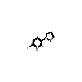 Fc1ccc(N2CC=CS2)cn1